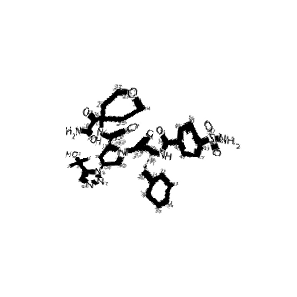 CC(C)(O)c1cnnn1[C@H]1C[C@@H](C(=O)NC2(C(=O)C(N)=O)CCOCC2)N(C(=O)[C@@H](CC2CCCCC2)NC(=O)c2ccc(S(N)(=O)=O)cc2)C1